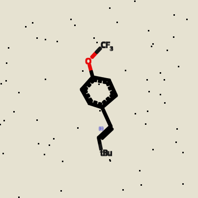 CC(C)(C)/C=C/c1ccc(OC(F)(F)F)cc1